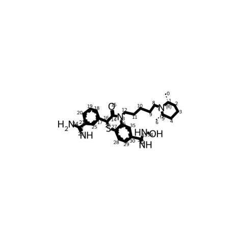 C[C@@H]1CCC[C@H](C)N1CCCCCN1C(=O)C(c2cccc(C(=N)N)c2)Sc2ccc(C(=N)NO)cc21